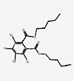 [2H]c1c([2H])c([2H])c(C(=O)OCCCCC)c(C(=O)OCCCCC)c1[2H]